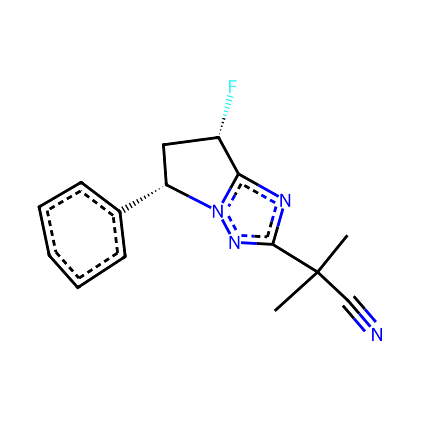 CC(C)(C#N)c1nc2n(n1)[C@H](c1ccccc1)C[C@@H]2F